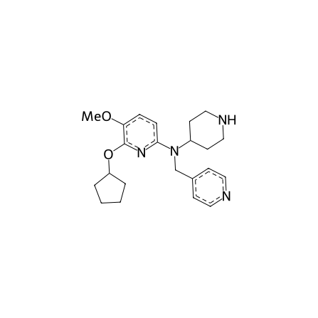 COc1ccc(N(Cc2ccncc2)C2CCNCC2)nc1OC1CCCC1